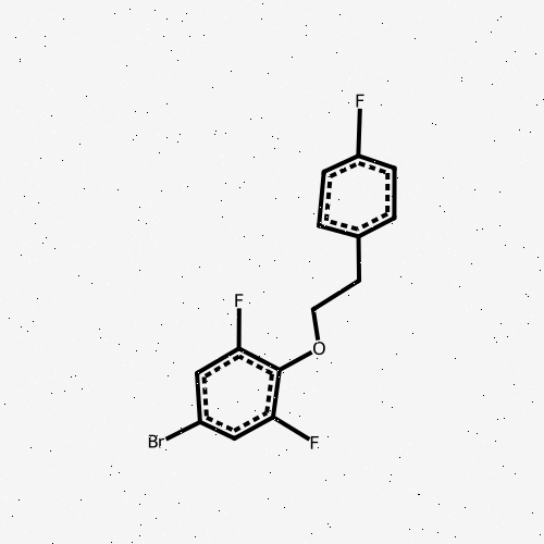 Fc1ccc(CCOc2c(F)cc(Br)cc2F)cc1